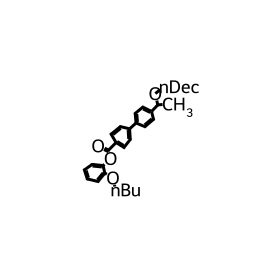 CCCCCCCCCCOC(C)c1ccc(-c2ccc(C(=O)Oc3ccccc3OCCCC)cc2)cc1